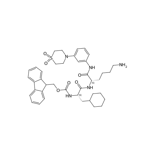 NCCCC[C@H](NC(=O)[C@H](CC1CCCCC1)NC(=O)OCC1c2ccccc2-c2ccccc21)C(=O)Nc1cccc(N2CCS(=O)(=O)CC2)c1